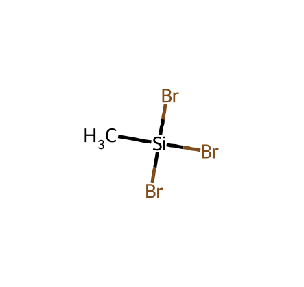 C[Si](Br)(Br)Br